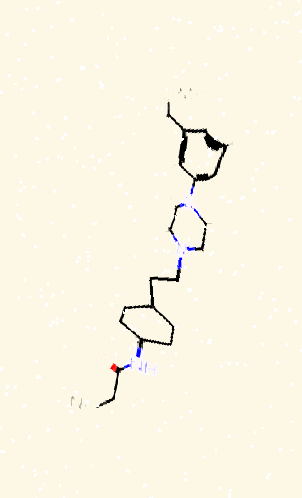 COCc1cccc(N2CCN(CCC3CCC(NC(=O)CC#N)CC3)CC2)c1